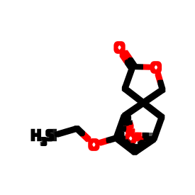 O=C1CC2(CO1)Cc1cc(OC[SiH3])c2o1